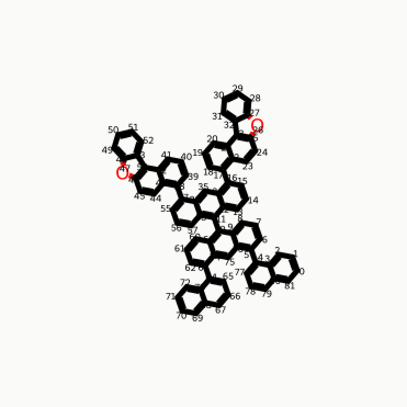 c1ccc2c(-c3cccc4c(-c5c6cccc(-c7cccc8c7ccc7oc9ccccc9c78)c6cc6c(-c7cccc8c7ccc7oc9ccccc9c78)cccc56)c5cccc(-c6cccc7ccccc67)c5cc34)cccc2c1